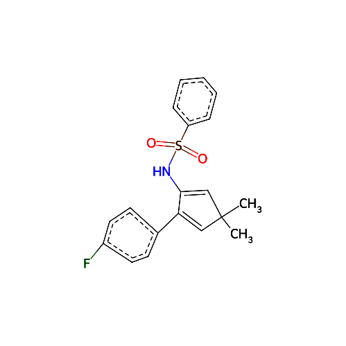 CC1(C)C=C(NS(=O)(=O)c2ccccc2)C(c2ccc(F)cc2)=C1